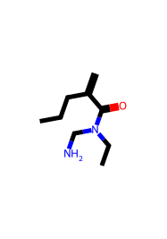 C=C(CCC)C(=O)N(CC)CN